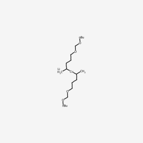 CCCCOCOCCC[CH](C)[Cu][CH](C)CCCOCOCCCC.[Li]